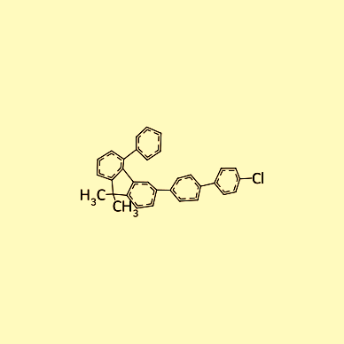 CC1(C)c2ccc(-c3ccc(-c4ccc(Cl)cc4)cc3)cc2-c2c(-c3ccccc3)cccc21